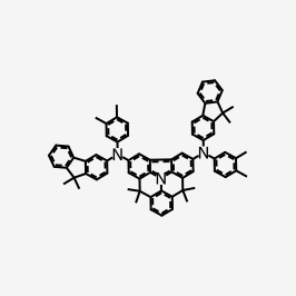 Cc1ccc(N(c2ccc3c(c2)-c2ccccc2C3(C)C)c2cc3c4c(c2)c2cc(N(c5ccc(C)c(C)c5)c5ccc6c(c5)C(C)(C)c5ccccc5-6)cc5c2n4-c2c(cccc2C5(C)C)C3(C)C)cc1C